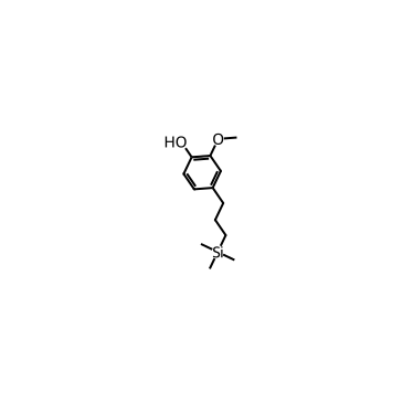 COc1cc(CCC[Si](C)(C)C)ccc1O